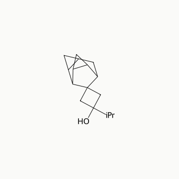 CC(C)C1(O)CC2(C1)C1CC3CC3C2C2CC21